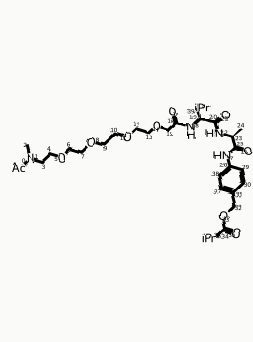 CC(=O)N(C)CCOCCOCCOCCOCC(=O)N[C@H](C(=O)N[C@@H](C)C(=O)Nc1ccc(COC(=O)C(C)C)cc1)C(C)C